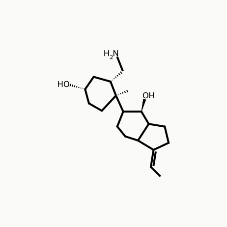 CC=C1CCC2C1CCC([C@@]1(C)CC[C@H](O)C[C@@H]1CN)[C@H]2O